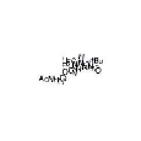 CC(=O)Nc1cc(Oc2cnc3nc(NC(=N)/C=C(\NC4CCOC4)C(C)(C)C)n(C)c3c2C(F)F)ccn1